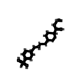 CC(C)(C)OC(=O)N1CCC(CCOCc2ccc(S(C)(=O)=O)cc2)CC1